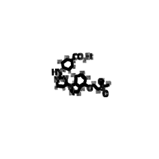 CCOC(=O)[C@H]1CC[C@H](Nc2nccc(-n3ncc4c(OCCS(C)(=O)=O)cccc43)n2)CC1